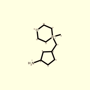 C[N+]1(CC2CCC(N)C2)CCOCC1